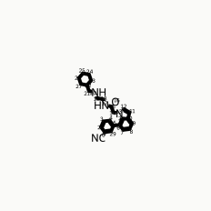 N#Cc1cccc(-c2cccc3ccn(CC(=O)NCCNCC4CCCCC4)c23)c1